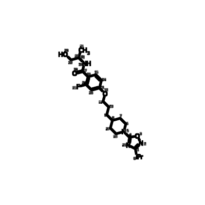 CC(C)c1noc(N2CCC(CCCOc3ccc(C(=O)N[C@H](C)CO)c(F)c3)CC2)n1